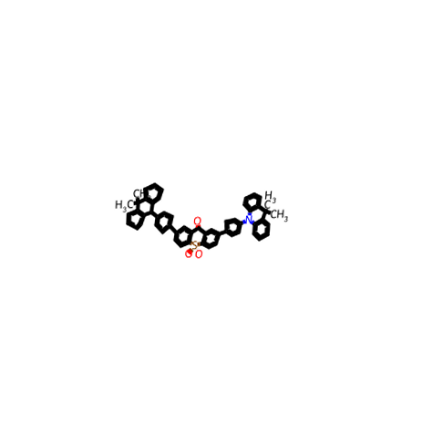 CC1(C)c2ccccc2C(c2ccc(-c3ccc4c(c3)C(=O)c3cc(-c5ccc(N6c7ccccc7C(C)(C)c7ccccc76)cc5)ccc3S4(=O)=O)cc2)c2ccccc21